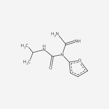 CC(C)NC(=O)N(C(=N)N)c1ccco1